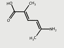 C/C(N)=C\C=C(/C)C(=O)O